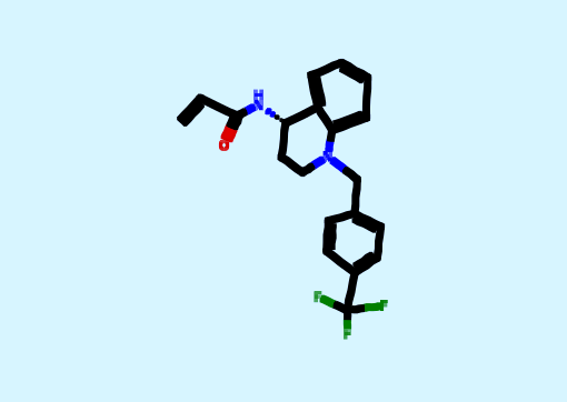 C=CC(=O)N[C@H]1CCN(Cc2ccc(C(F)(F)F)cc2)c2ccccc21